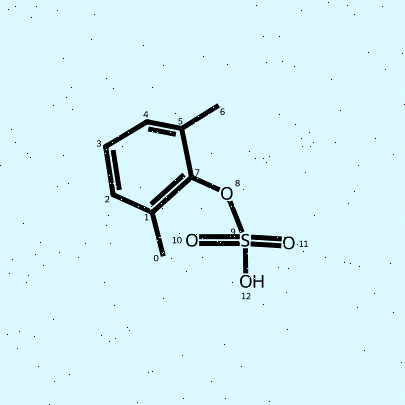 Cc1cccc(C)c1OS(=O)(=O)O